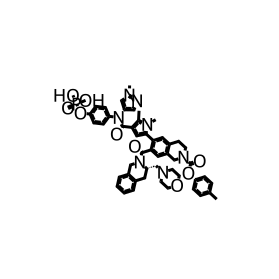 Cc1ccc(OC(=O)N2CCc3cc(-c4cc(C(=O)N(c5ccc(OP(=O)(O)O)cc5)c5cnn(C)c5)c(C)n4C)c(C(=O)N4Cc5ccccc5C[C@H]4CN4CCOCC4)cc3C2)cc1